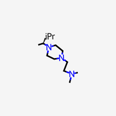 CC(C)[C@H](C)N1CCN(CCN(C)C)CC1